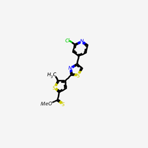 COC(=S)c1cc(-c2nc(-c3ccnc(Cl)c3)cs2)c(C)s1